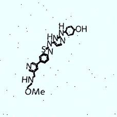 COCCNCc1cncc(-c2ccc3nc(Nc4ccnc(NC5CCC(O)CC5)n4)sc3c2)c1